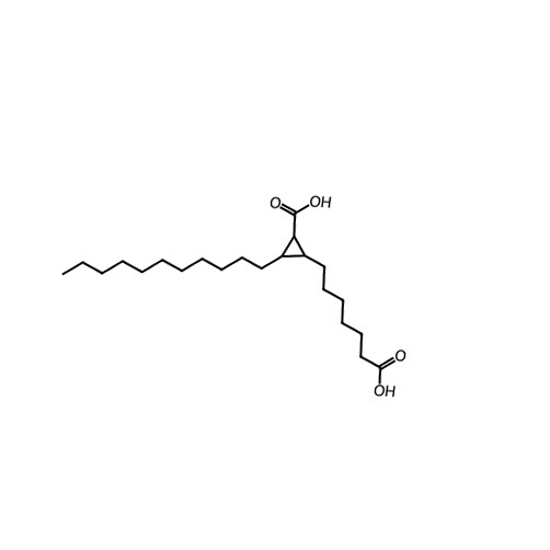 CCCCCCCCCCCC1C(CCCCCCC(=O)O)C1C(=O)O